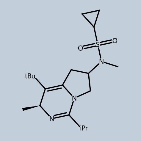 CC(C)C1=N[C@@H](C)C(C(C)(C)C)=C2CC(N(C)S(=O)(=O)C3CC3)CN12